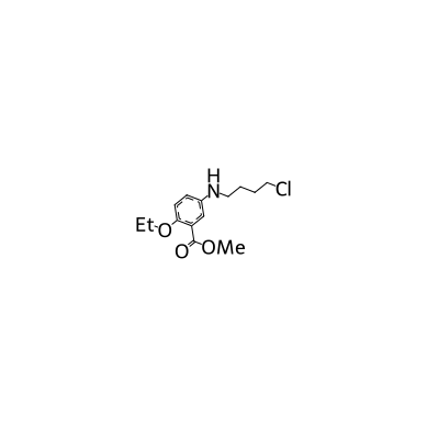 CCOc1ccc(NCCCCCl)cc1C(=O)OC